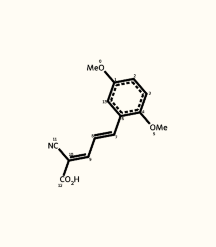 COc1ccc(OC)c(/C=C/C=C(\C#N)C(=O)O)c1